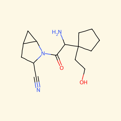 N#CC1CC2CC2N1C(=O)C(N)C1(CCO)CCCC1